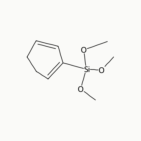 CO[Si](OC)(OC)C1=CCCC=C1